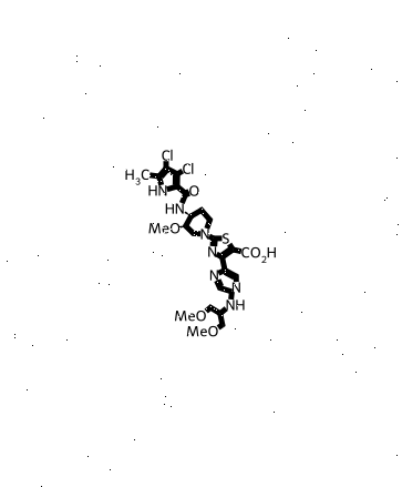 COCC(COC)Nc1cnc(-c2nc(N3CC[C@@H](NC(=O)c4[nH]c(C)c(Cl)c4Cl)[C@@H](OC)C3)sc2C(=O)O)cn1